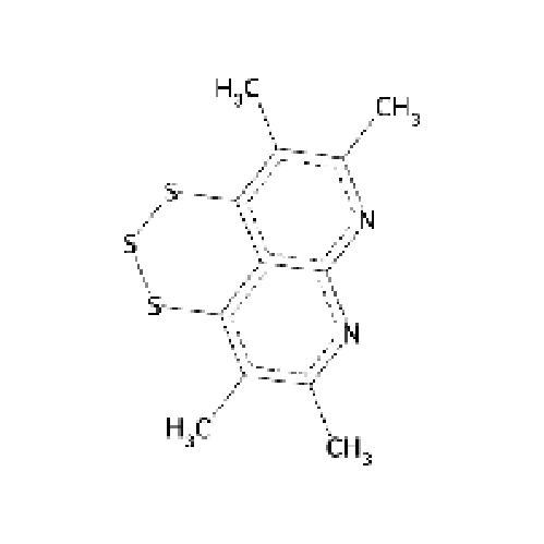 Cc1nc2nc(C)c(C)c3c2c(c1C)SSS3